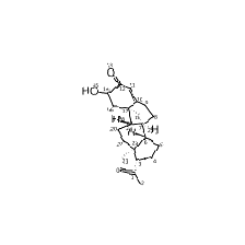 C=C(C)[C@H]1CC[C@H]2[C@@H]3CCC4=CC(=O)C(O)C[C@]4(C)[C@H]3CC[C@]12C